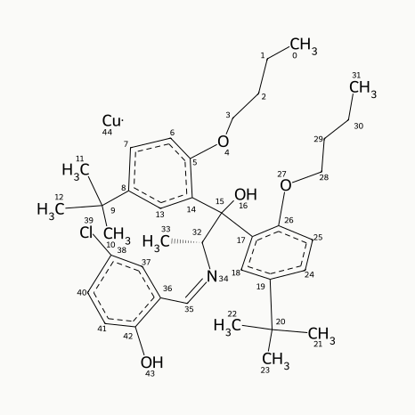 CCCCOc1ccc(C(C)(C)C)cc1C(O)(c1cc(C(C)(C)C)ccc1OCCCC)[C@@H](C)N=Cc1cc(Cl)ccc1O.[Cu]